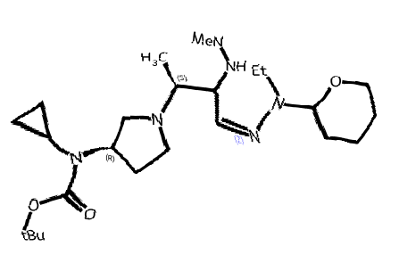 CCN(/N=C\C(NNC)[C@H](C)N1CC[C@@H](N(C(=O)OC(C)(C)C)C2CC2)C1)C1CCCCO1